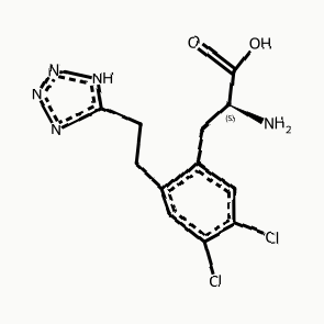 N[C@@H](Cc1cc(Cl)c(Cl)cc1CCc1nnn[nH]1)C(=O)O